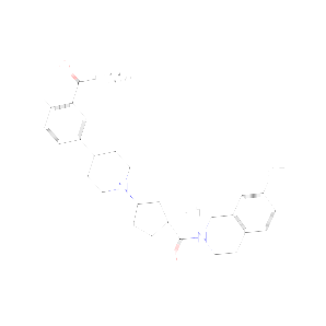 COC(=O)c1cc(C2CCN([C@@H]3CC[C@@](C(=O)N4CCc5ccc(C(F)(F)F)cc5C4)(C(C)C)C3)CC2)ccc1F